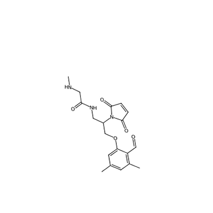 CNCC(=O)NCC(COc1cc(C)cc(C)c1C=O)N1C(=O)C=CC1=O